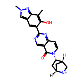 Cc1c(O)c(-c2ncc3c(=O)n([C@H]4C[C@@H]5C[C@H]4CN5)ccc3n2)cc2cn(C)nc12